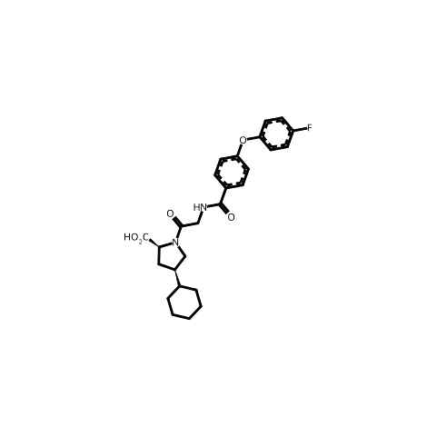 O=C(NCC(=O)N1C[C@@H](C2CCCCC2)C[C@H]1C(=O)O)c1ccc(Oc2ccc(F)cc2)cc1